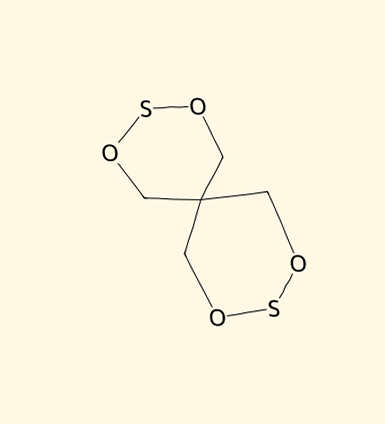 C1OSOCC12COSOC2